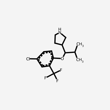 CC(C)C(Oc1ccc(Cl)cc1C(F)(F)F)C1CCNC1